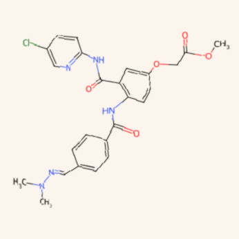 COC(=O)COc1ccc(NC(=O)c2ccc(C=NN(C)C)cc2)c(C(=O)Nc2ccc(Cl)cn2)c1